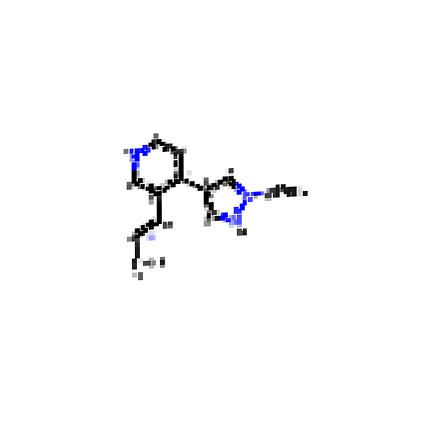 CCCC(C)n1cc(-c2ccncc2/C=C/C=O)cn1